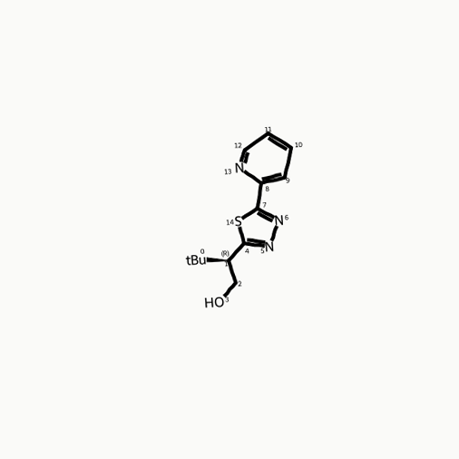 CC(C)(C)[C@H](CO)c1nnc(-c2ccccn2)s1